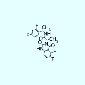 C[C@H](NC(=O)[C@@H](C)n1c(=O)[nH]c2ccc(F)c(F)c2c1=O)c1ccc(F)cc1F